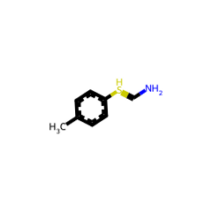 Cc1ccc([SH]=CN)cc1